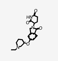 CCN1CCC[C@@H](Oc2ccc3c(c2)CN(C2CCC(=O)NC2=O)C3=O)C1